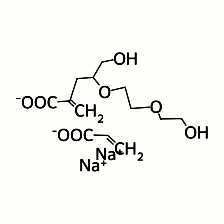 C=C(CC(CO)OCCOCCO)C(=O)[O-].C=CC(=O)[O-].[Na+].[Na+]